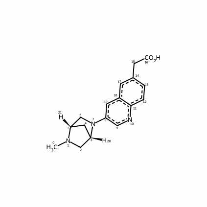 CN1C[C@@H]2C[C@H]1CN2c1cnc2ccc(CC(=O)O)cc2c1